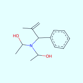 C=C(C)C(c1ccccc1)N(C(C)O)C(C)O